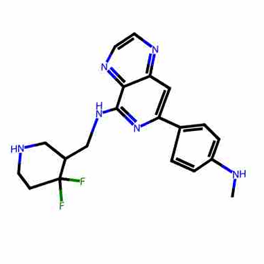 CNc1ccc(-c2cc3nccnc3c(NCC3CNCCC3(F)F)n2)cc1